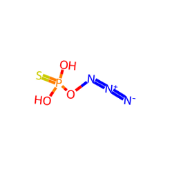 [N-]=[N+]=NOP(O)(O)=S